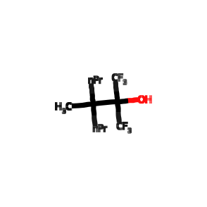 CCCC(C)(CCC)C(O)(C(F)(F)F)C(F)(F)F